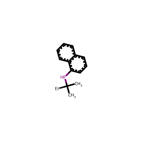 CCC(C)(C)Pc1cccc2ccccc12